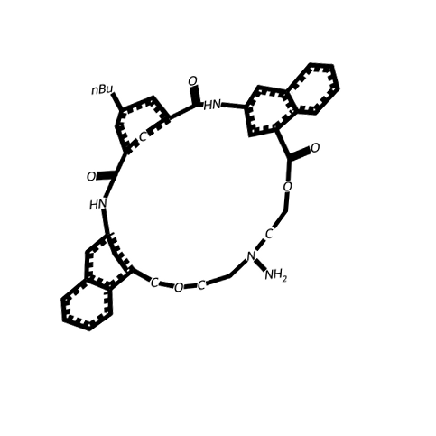 CCCCc1cc2cc(c1)C(=O)Nc1cc(c3ccccc3c1)C(=O)OCCN(N)CCOCc1cc(cc3ccccc13)NC2=O